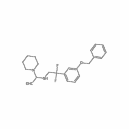 O=CC(NCC(F)(F)c1cccc(OCc2ccccc2)c1)N1CCCCC1